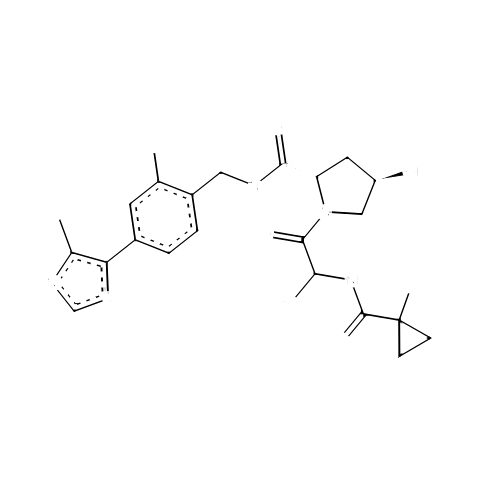 Cc1ncsc1-c1ccc(CNC(=O)[C@@H]2C[C@@H](O)CN2C(=O)C(NC(=O)C2(F)CC2)C(C)(C)C)c(O)c1